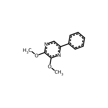 COc1ncc(-c2ccccc2)nc1OC